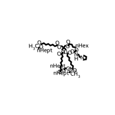 CCCCCCCC(C)OC(=O)CCCCCCC(=O)OCC(COC(=O)CCCCCCC(=O)OC(C)CCCCCCC)(COC(=O)CCCCCCC(=O)OC(C)CCCCCCC)COC(=O)CCC(CCCCCC)OC(=O)NCCN1CCCC1